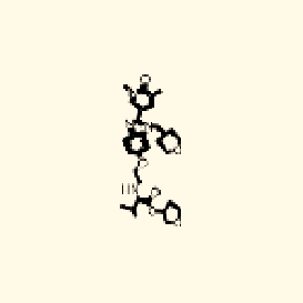 Cc1cc(-c2nc3ccc(OCCN[C@H](C(=O)OC4CCOC4)C(C)C)cc3n2CC2CCOCC2)cn(C)c1=O